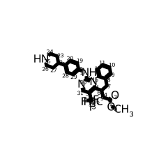 COC(=O)C(C)C(Cc1ccccc1)c1nc(Nc2ccc(C3CCNCC3)cc2)ncc1C(F)(F)F